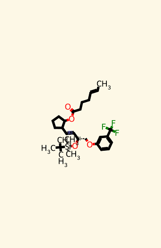 CC=CCCCC(=O)OC1CCCC1/C=C/[C@H](COc1cccc(C(F)(F)F)c1)O[Si](C)(C)C(C)(C)C